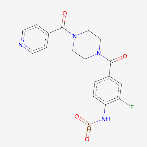 O=C(c1ccncc1)N1CCN(C(=O)c2ccc(N[SH](=O)=O)c(F)c2)CC1